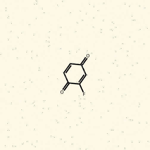 O=C1[C]=C(F)C(=O)C=C1